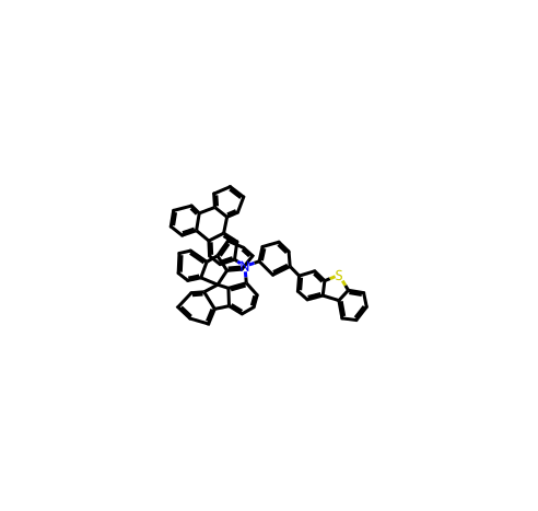 c1cc(-c2ccc3c(c2)sc2ccccc23)cc(N(c2ccc3c4ccccc4c4ccccc4c3c2)c2cccc3c2C2(c4ccccc4-c4ccccc42)c2ccccc2-3)c1